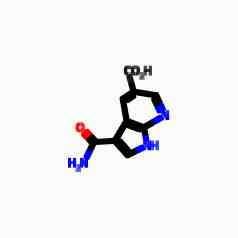 NC(=O)c1c[nH]c2ncc(C(=O)O)cc12